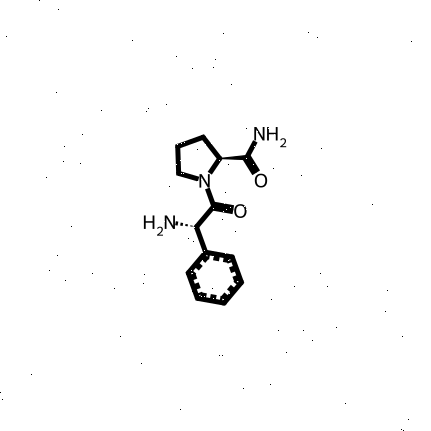 NC(=O)[C@@H]1CCCN1C(=O)[C@@H](N)c1ccccc1